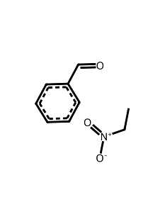 CC[N+](=O)[O-].O=Cc1ccccc1